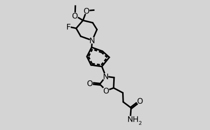 COC1(OC)CCN(c2ccc(N3CC(CCC(N)=O)OC3=O)cc2)CC1F